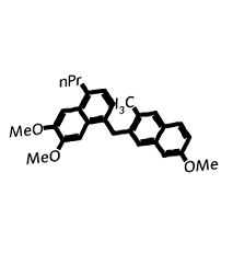 CCCc1ccc(Cc2cc3cc(OC)ccc3cc2C)c2cc(OC)c(OC)cc12